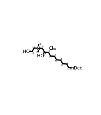 CCCCCCCCCCCCCCCCCCC(O)C[N+](C)(C)CCO.[Cl-]